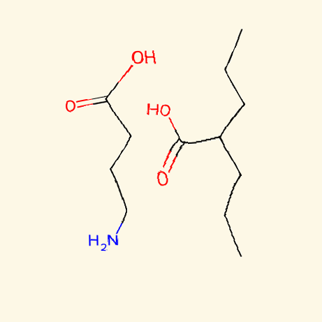 CCCC(CCC)C(=O)O.NCCCC(=O)O